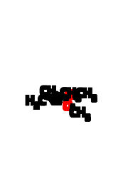 C=C(C)C1CCC(C)(C(OCC)OCC)C1